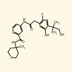 CC1(NC(=O)c2cc(NC(=O)Cc3cc(O)c(C(C)(C)CO)cc3F)ccn2)CCOCC1